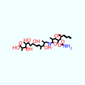 C=C/C=C/C(C)C(OC(N)=O)C(C)C(O)C(C)C(=O)N(C)CC(C)C(O)C(C)/C=C/C(O)CC(O)C(C)C(O)C(C)C(=O)O